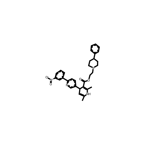 CC1=CC(c2ccc(-c3cccc([N+](=O)[O-])c3)nc2)C(C(=O)OCCN2CCC(c3ccccc3)CC2)=C(C)N1